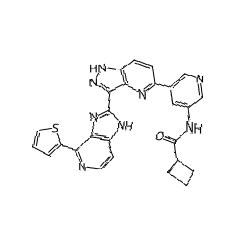 O=C(Nc1cncc(-c2ccc3[nH]nc(-c4nc5c(-c6cccs6)nccc5[nH]4)c3n2)c1)C1CCC1